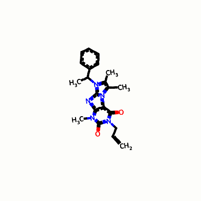 C=CCn1c(=O)c2c(nc3n(C(C)c4ccccc4)c(C)c(C)n23)n(C)c1=O